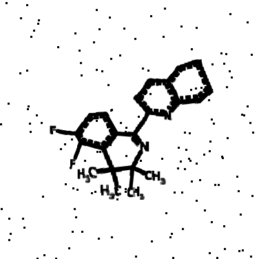 CC1(C)N=C(c2ccc3ccccc3n2)c2ccc(F)c(F)c2C1(C)C